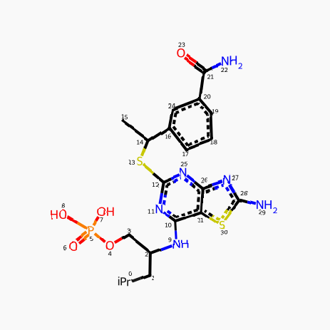 CC(C)CC(COP(=O)(O)O)Nc1nc(SC(C)c2cccc(C(N)=O)c2)nc2nc(N)sc12